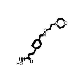 O=C(C=Cc1ccc(C=NOCCN2CCOCC2)cc1)NO